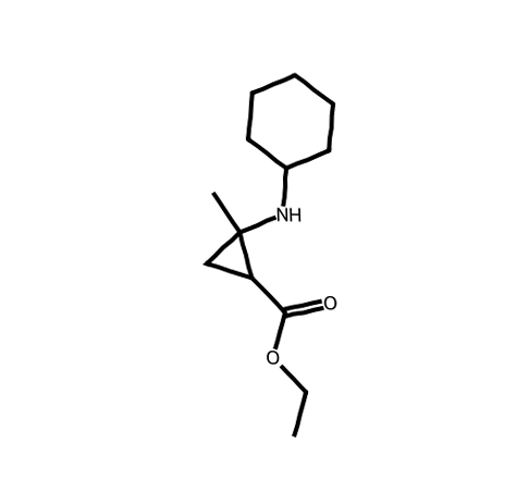 CCOC(=O)C1CC1(C)NC1CCCCC1